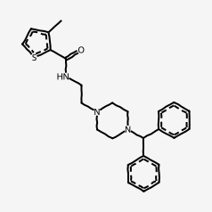 Cc1ccsc1C(=O)NCCN1CCN(C(c2ccccc2)c2ccccc2)CC1